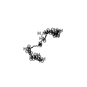 Cc1cn([C@H]2CC(OP(=O)(O)OC[C@@H]3CC[C@H](n4cc(C#CCCCCc5cn(CCCC(=O)NCC#Cc6cn([C@H]7CC(O)[C@@H](COP(=O)(O)OP(=O)(O)OP(=O)(O)O)O7)c(=O)nc6N)nn5)c(=O)[nH]c4=O)O3)[C@@H](CO)O2)c(=O)[nH]c1=O